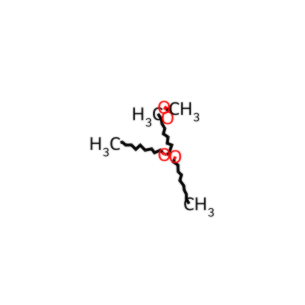 CCCCCCCCCCOC(CCCCCCC(C)OC(C)=O)OCCCCCCCCCC